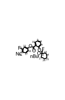 CCCCOC1(C(F)Oc2ccccc2C(=O)Oc2ccc(C#N)c(F)c2)CCCCC1